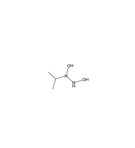 CC(C)N(O)NO